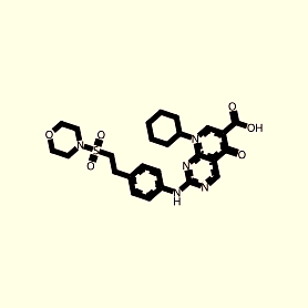 O=C(O)c1cn(C2CCCCC2)c2nc(Nc3ccc(CCS(=O)(=O)N4CCOCC4)cc3)ncc2c1=O